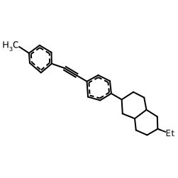 CCC1CCC2CC(c3ccc(C#Cc4ccc(C)cc4)cc3)CCC2C1